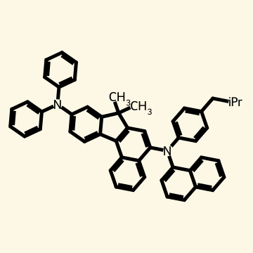 CC(C)Cc1ccc(N(c2cccc3ccccc23)c2cc3c(c4ccccc24)-c2ccc(N(c4ccccc4)c4ccccc4)cc2C3(C)C)cc1